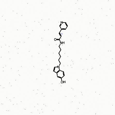 O=C(/C=C/c1cccnc1)NCCCCCCn1ccc2cc(O)ccc21